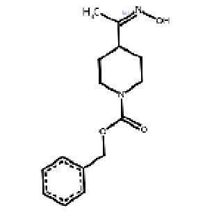 C/C(=N/O)C1CCN(C(=O)OCc2ccccc2)CC1